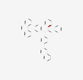 c1ccc(-c2cc(-c3cccc4ccc5ccccc5c34)ccc2N(c2ccc(-c3ccc4ccccc4c3)cc2)c2ccc3ccccc3c2)cc1